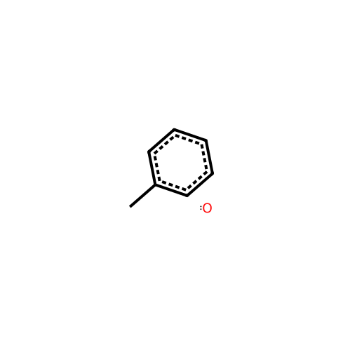 Cc1ccccc1.[O]